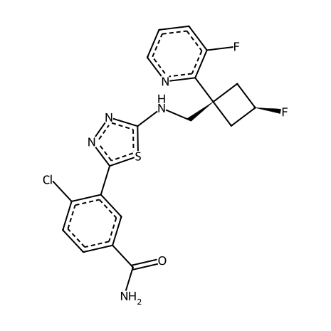 NC(=O)c1ccc(Cl)c(-c2nnc(NC[C@]3(c4ncccc4F)C[C@H](F)C3)s2)c1